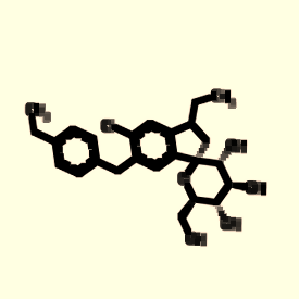 CCc1ccc(Cc2cc3c(cc2Cl)C(CC)C[C@]32O[C@H](CO)[C@@H](O)[C@H](O)[C@H]2O)cc1